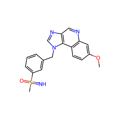 COc1ccc2c(c1)ncc1ncn(Cc3cccc(S(C)(=N)=O)c3)c12